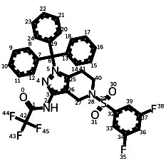 O=C(Nc1nn(C(c2ccccc2)(c2ccccc2)c2ccccc2)c2c1CN(S(=O)(=O)c1cc(F)cc(F)c1)CC2)C(F)(F)F